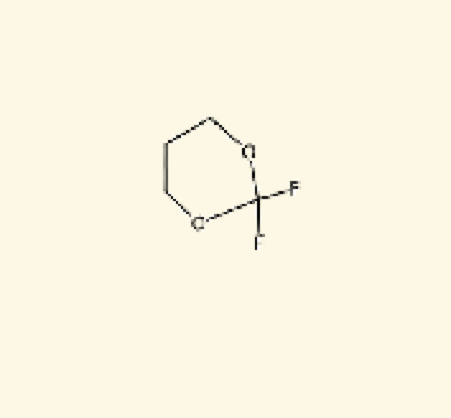 FC1(F)OCCCO1